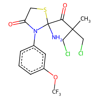 CC(CCl)(CCl)C(=O)C1(N)SCC(=O)N1c1cccc(OC(F)(F)F)c1